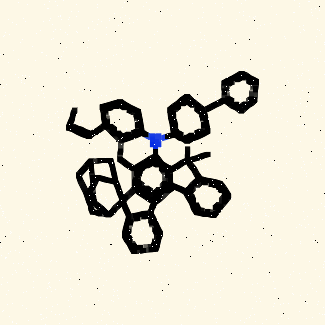 C/C=C\c1cccc(N(c2ccc(-c3ccccc3)cc2)c2cccc3c2C(C)(C)c2ccccc2-3)c1Cc1cccc2c1C1(c3ccccc3-2)C2CC3CC(C2)CC1C3